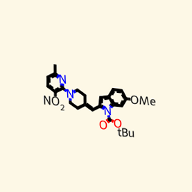 COc1ccc2cc(C=C3CCN(c4nc(C)ccc4[N+](=O)[O-])CC3)n(C(=O)OC(C)(C)C)c2c1